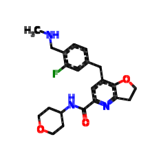 CNCc1ccc(Cc2cc(C(=O)NC3CCOCC3)nc3c2OCC3)cc1F